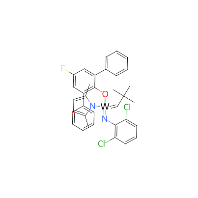 Cc1ccc(C)[n]1[W](=[CH]C(C)(C)C)(=[N]c1c(Cl)cccc1Cl)[O]c1c(-c2ccccc2)cc(F)cc1-c1ccccc1